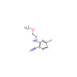 COCCNc1cc(I)ccc1C#N